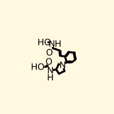 O=C(O)NC1CCN(c2ccccc2C=CC(=O)NO)C1